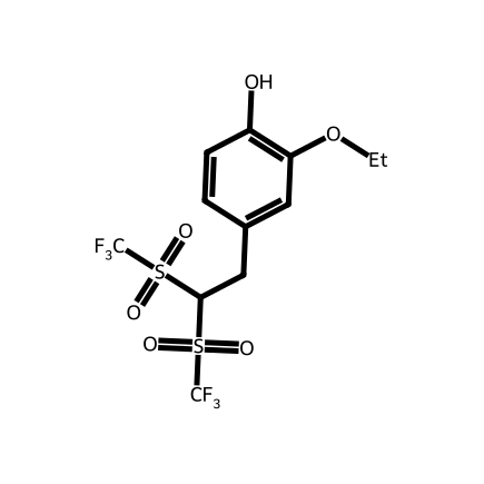 CCOc1cc(CC(S(=O)(=O)C(F)(F)F)S(=O)(=O)C(F)(F)F)ccc1O